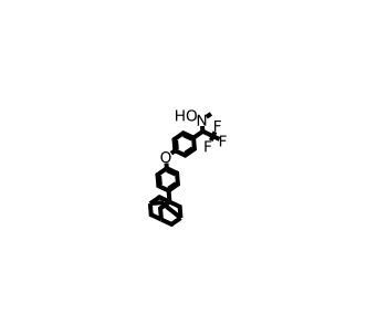 CN(O)C(c1ccc(Oc2ccc(C34CC5CC(CC(C5)C3)C4)cc2)cc1)C(F)(F)F